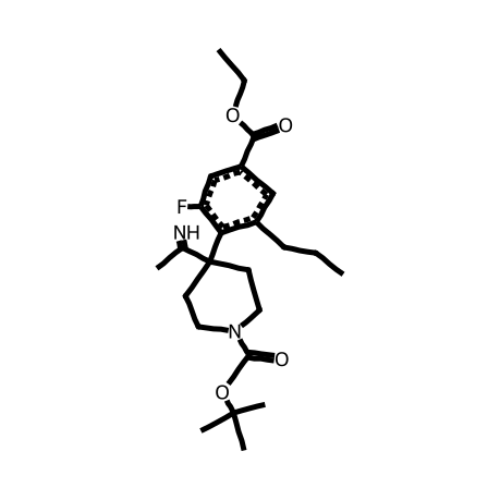 CCCc1cc(C(=O)OCC)cc(F)c1C1(C(C)=N)CCN(C(=O)OC(C)(C)C)CC1